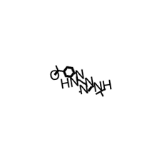 CC(=O)c1ccc2nc(-c3nc(NC(C)(C)C)cn3C)[nH]c2c1